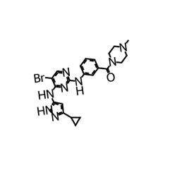 CN1CCN(C(=O)c2cccc(Nc3ncc(Br)c(Nc4cc(C5CC5)n[nH]4)n3)c2)CC1